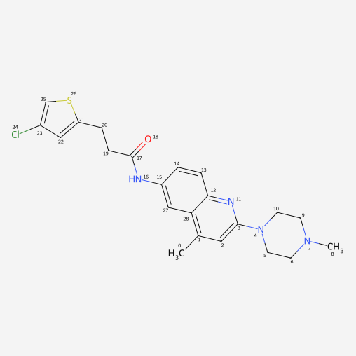 Cc1cc(N2CCN(C)CC2)nc2ccc(NC(=O)CCc3cc(Cl)cs3)cc12